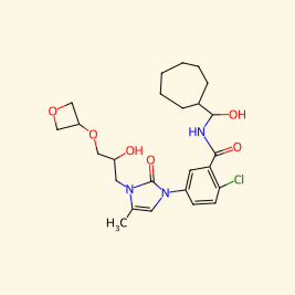 Cc1cn(-c2ccc(Cl)c(C(=O)NC(O)C3CCCCCC3)c2)c(=O)n1CC(O)COC1COC1